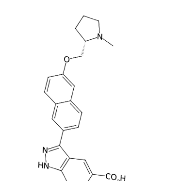 CN1CCC[C@H]1COc1ccc2cc(-c3n[nH]c4ccc(C(=O)O)cc34)ccc2c1